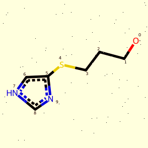 [O]CCCSc1c[nH]cn1